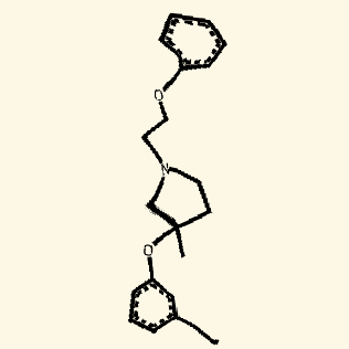 Cc1cccc(OC2(C)CCN(CCOc3ccccc3)C2)c1